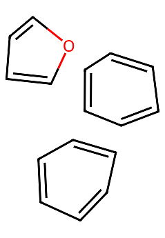 c1ccccc1.c1ccccc1.c1ccoc1